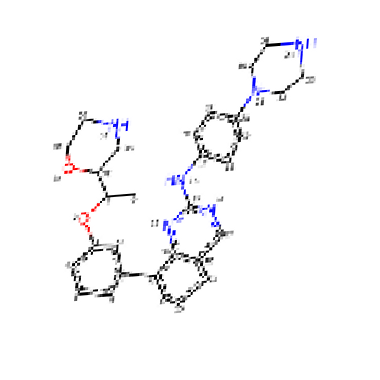 CC(Oc1cccc(-c2cccc3cnc(Nc4ccc(N5CCNCC5)cc4)nc23)c1)C1CNCCO1